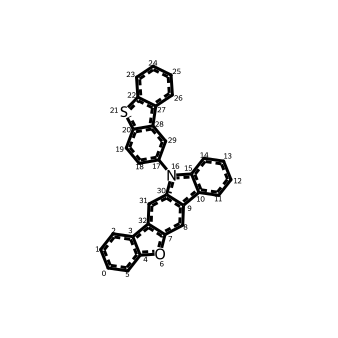 c1ccc2c(c1)oc1cc3c4ccccc4n(-c4ccc5sc6ccccc6c5c4)c3cc12